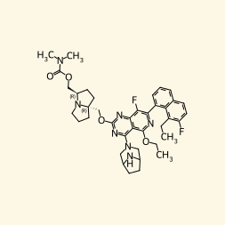 CCOc1nc(-c2cccc3ccc(F)c(CC)c23)c(F)c2nc(OC[C@]34CCCN3[C@@H](COC(=O)N(C)C)CC4)nc(N3CC4CCC(C3)N4)c12